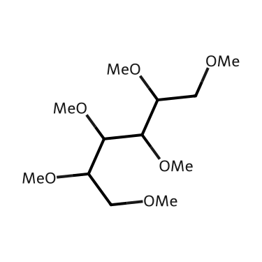 COCC(OC)C(OC)C(OC)C(COC)OC